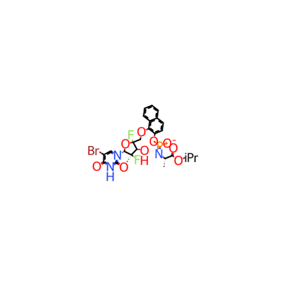 CC(C)OC(=O)[C@H](C)/N=[P+](\[O-])Oc1ccc2ccccc2c1OC[C@@]1(F)O[C@@H](n2cc(Br)c(=O)[nH]c2=O)[C@](C)(F)[C@@H]1O